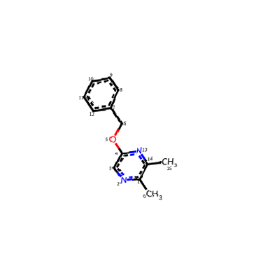 Cc1ncc(OCc2ccccc2)nc1C